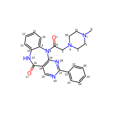 CN1CCN(CC(=O)N2c3ccccc3NC(=O)c3cnc(-c4ccccc4)nc32)CC1